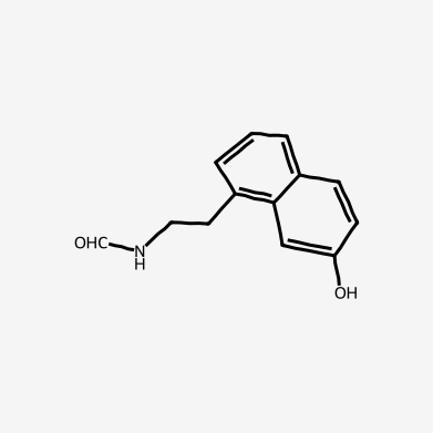 O=CNCCc1cccc2ccc(O)cc12